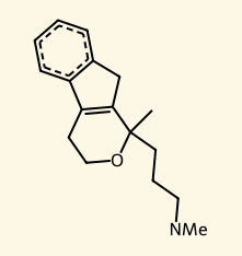 CNCCCC1(C)OCCC2=C1Cc1ccccc12